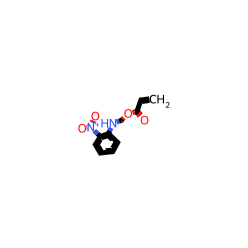 C=CC(=O)OCNc1ccccc1[N+](=O)[O-]